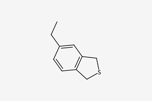 CCc1ccc2c(c1)CSC2